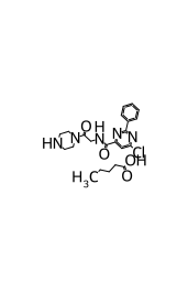 CCCCC(=O)O.O=C(NCC(=O)N1CCNCC1)c1cc(Cl)nc(-c2ccccc2)n1